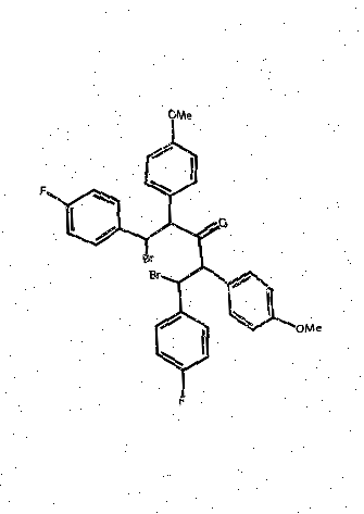 COc1ccc(C(C(=O)C(c2ccc(OC)cc2)C(Br)c2ccc(F)cc2)C(Br)c2ccc(F)cc2)cc1